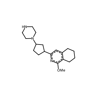 COc1nc(C2CCC(N3CCNCC3)C2)cc2c1CCCC2